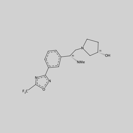 CN[C@@H](CN1CC[C@H](O)C1)c1cccc(-c2noc(C(F)(F)F)n2)c1